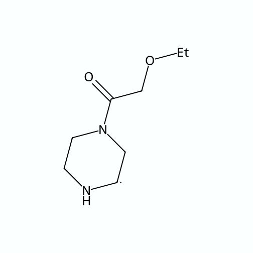 CCOCC(=O)N1C[CH]NCC1